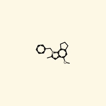 COc1cc2c(c3c1cc(C)n3Cc1ccccc1)CCC2